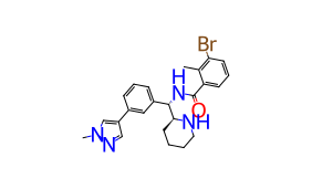 Cc1c(Br)cccc1C(=O)N[C@@H](c1cccc(-c2cnn(C)c2)c1)[C@@H]1CCCCN1